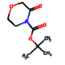 CC(C)(C)OC(=O)N1CCOCC1=O